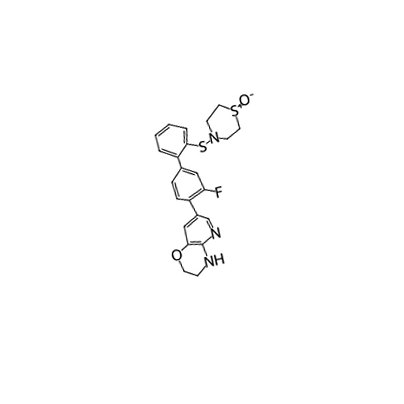 [O-][S+]1CCN(Sc2ccccc2-c2ccc(-c3cnc4c(c3)OCCN4)c(F)c2)CC1